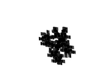 O=C(O)CN(CCN(CCN(CC(=O)O)CC(=O)O)C(CCC(=O)NCC(CNC(=O)C(O)C(O)C(OC1OC(CO)C(O)C(O)C1O)C(O)CO)(CNC(=O)C(O)C(O)C(OC1OC(CO)C(O)C(O)C1O)C(O)CO)CNC(=O)C(O)C(O)C(OC1OC(CO)C(O)C(O)C1O)C(O)CO)P(=O)(O)O)CC(=O)O